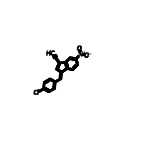 C#CC1=CC(=Cc2ccc(Cl)cc2)c2ccc([N+](=O)[O-])cc21